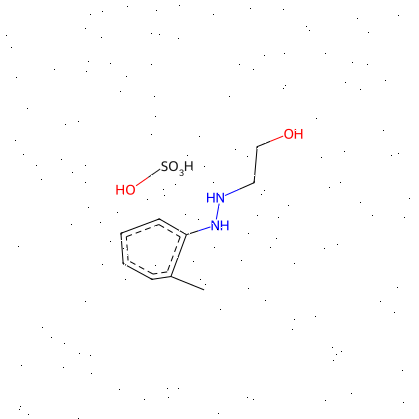 Cc1ccccc1NNCCO.O=S(=O)(O)O